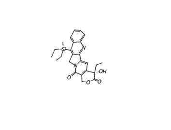 CC[C@@]1(O)C(=O)OCc2c1cc1n(c2=O)Cc2c-1nc1ccccc1c2[Si](C)(CC)CC